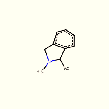 CC(=O)C1c2ccccc2CN1C